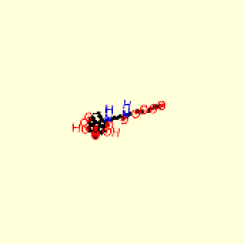 COCCOCCOCCOCCNC(=O)CCCCNc1c2c3c4c(c(OC)c(=O)c5c(O)cc(OC)c(c6c(OC)cc(O)c(c1=O)c63)c54)CC(C)=C2